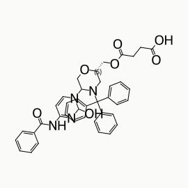 O=C(O)CCC(=O)OC[C@@H]1CN(C(c2ccccc2)(c2ccccc2)c2ccccc2)C(N2C=CC(NC(=O)c3ccccc3)=NC2O)CO1